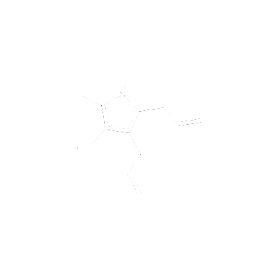 C=CCc1[nH]c(C)c(CCC)c1CC=C